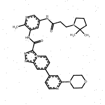 Cc1ncc(NC(=O)CCN2CCCC2(C)C)cc1NC(=O)c1nnc2cc(-c3ccnc(N4CCOCC4)c3)ccn12